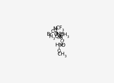 Cc1ccc(CCNC(=O)C2C=CC(Cn3nc(C)c(NC(=O)c4cc(C(F)(F)F)nc5ccc(Br)cc45)c3C)=CC2)cc1